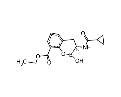 CCOC(=O)c1cccc2c1OB(O)[C@@H](NC(=O)C1CC1)C2